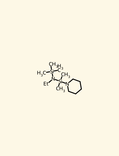 CCN([Si](C)(C)C)[Si](C)(C)N1CCCCC1